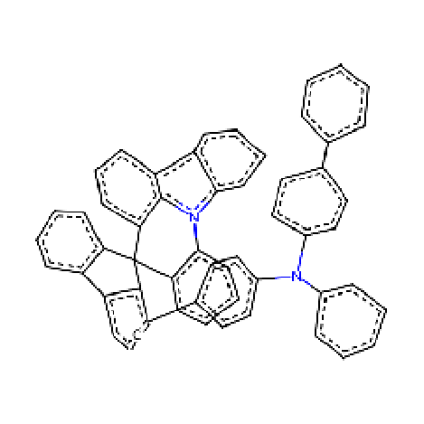 c1ccc(-c2ccc(N(c3ccccc3)c3ccc(-c4cccc5c4C4(c6ccccc6-5)c5ccccc5-n5c6ccccc6c6cccc4c65)cc3)cc2)cc1